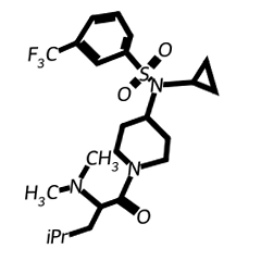 CC(C)CC(C(=O)N1CCC(N(C2CC2)S(=O)(=O)c2cccc(C(F)(F)F)c2)CC1)N(C)C